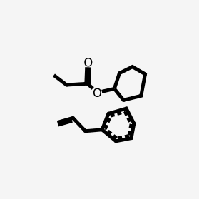 C=CCc1ccccc1.CCC(=O)OC1CCCCC1